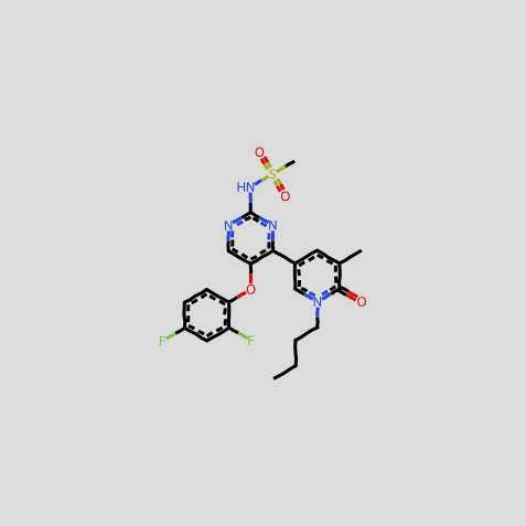 CCCCn1cc(-c2nc(NS(C)(=O)=O)ncc2Oc2ccc(F)cc2F)cc(C)c1=O